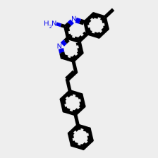 Cc1ccc2c(c1)nc(N)c1ncc(C=Cc3ccc(-c4ccccc4)cc3)cc12